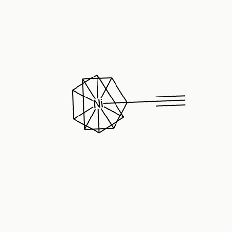 C#C[C]12[CH]3[CH]4[CH]5[CH]1[Ni]45321678[CH]2[CH]1[CH]6[CH]7[CH]28